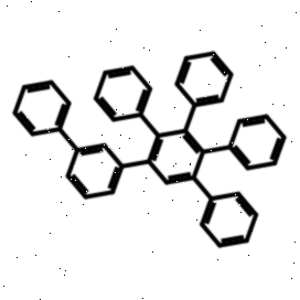 c1ccc(-c2cccc(-c3cc(-c4ccccc4)c(-c4ccccc4)c(-c4ccccc4)c3-c3ccccc3)c2)cc1